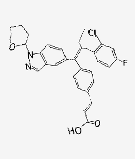 CC/C(=C(/c1ccc(/C=C/C(=O)O)cc1)c1ccc2c(cnn2C2CCCCO2)c1)c1ccc(F)cc1Cl